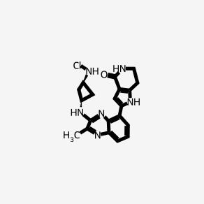 Cc1nc2cccc(-c3cc4c([nH]3)CCNC4=O)c2nc1N[C@H]1C[C@H](NCl)C1